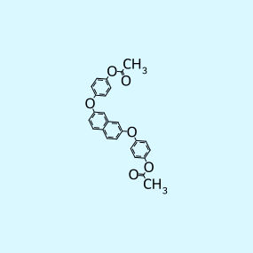 CC(=O)Oc1ccc(Oc2ccc3ccc(Oc4ccc(OC(C)=O)cc4)cc3c2)cc1